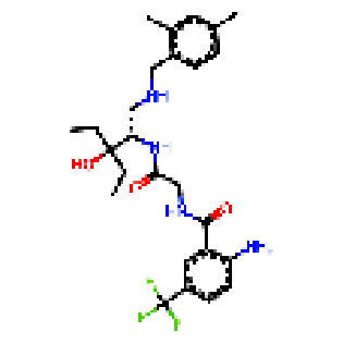 CCC(O)(CC)[C@H](CNCc1ccc(C)cc1C)NC(=O)CNC(=O)c1cc(C(F)(F)F)ccc1N